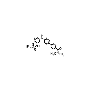 CC(C)CS(=O)(=O)Nc1cncc(Nc2ccc(-c3ccc(C(=O)N(C)C)cc3)cn2)c1